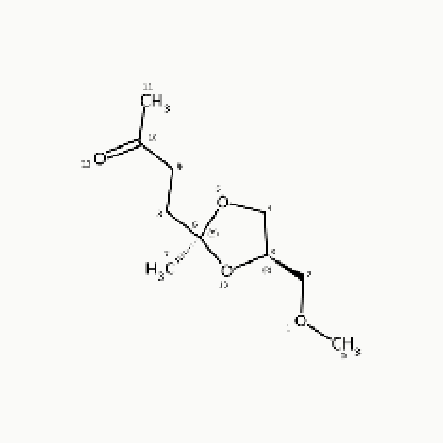 COC[C@@H]1CO[C@](C)(CCC(C)=O)O1